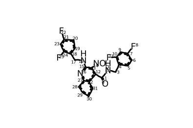 O=C(NCc1ccc(F)cc1F)c1c([N+](=O)[O-])c(NCc2ccc(F)cc2F)nc2ccccc12